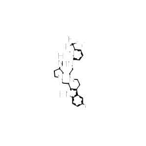 NC1CCN(CC2c3[nH]c4ccc(Cl)cc4c3CCN2CCNc2ccc(Cl)c(C(F)(F)F)n2)C1